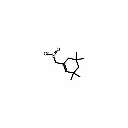 CC1(C)C=C(C[N+](=O)[O-])CC(C)(C)C1